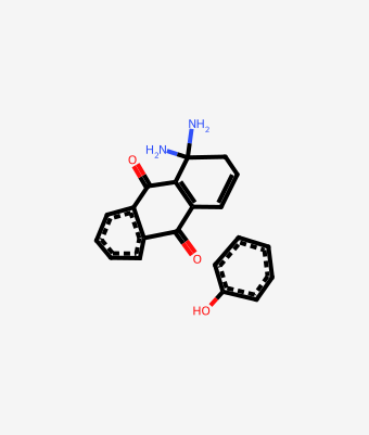 NC1(N)CC=CC2=C1C(=O)c1ccccc1C2=O.Oc1ccccc1